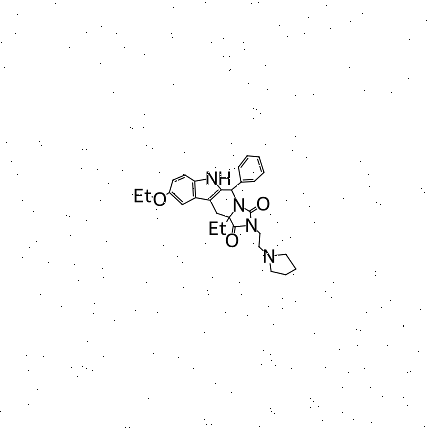 CCOc1ccc2[nH]c3c(c2c1)CC1(CC)C(=O)N(CCN2CCCC2)C(=O)N1C3c1ccccc1